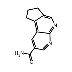 NC(=O)c1cnc2ncc3c(c2c1)CCC3